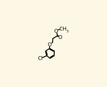 COC(=O)CCOc1cccc(Cl)c1